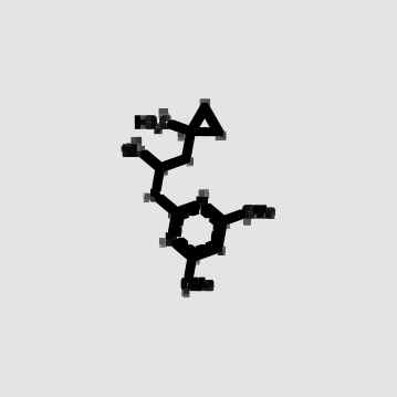 COc1cc(OC)nc(SC(CC2(C(=O)O)CC2)C(C)(C)C)n1